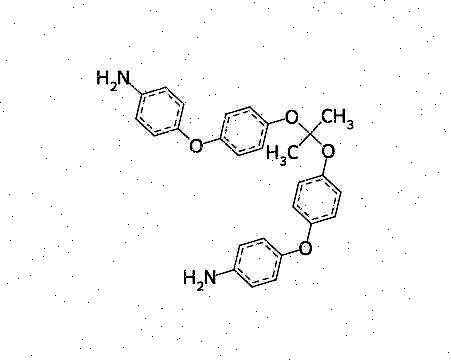 CC(C)(Oc1ccc(Oc2ccc(N)cc2)cc1)Oc1ccc(Oc2ccc(N)cc2)cc1